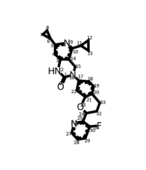 O=C1Nc2cc(C3CC3)nc(C3CC3)c2CN1c1ccc2c(c1)OC(c1ncccc1F)CC2